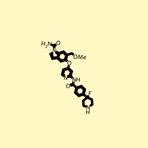 COCc1cc2c(ccn2C(N)=O)cc1Oc1ccnc(NC(=O)c2ccc(C3(F)CCNCC3)cc2)c1